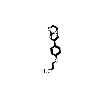 [CH2]CCOc1ccc(-c2cn3c(n2)SCC3)cc1